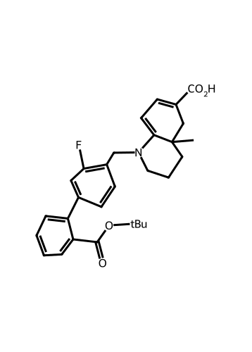 CC(C)(C)OC(=O)c1ccccc1-c1ccc(CN2CCCC3(C)CC(C(=O)O)=CC=C23)c(F)c1